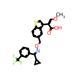 COC=C(C(=O)O)c1csc2ccc(CON=C(c3cccc(C(F)(F)F)c3)C3CC3)cc12